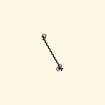 C=C(C)C(=O)OCCCCCCCCCCCCCCCCCCC[Si](C)(C)Cl